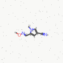 CO/N=C/c1cc(C#N)cn1C